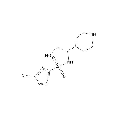 O=S(=O)(N[C@H](CO)C1CCNCC1)c1ccc(Cl)s1